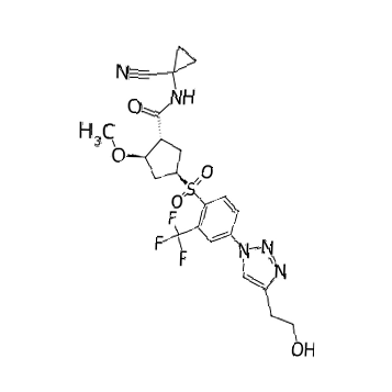 CO[C@@H]1C[C@H](S(=O)(=O)c2ccc(-n3cc(CCO)nn3)cc2C(F)(F)F)C[C@H]1C(=O)NC1(C#N)CC1